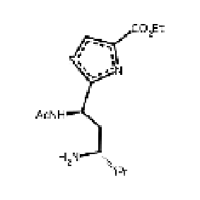 CCOC(=O)c1csc([C@@H](C[C@@H](N)C(C)C)NC(C)=O)n1